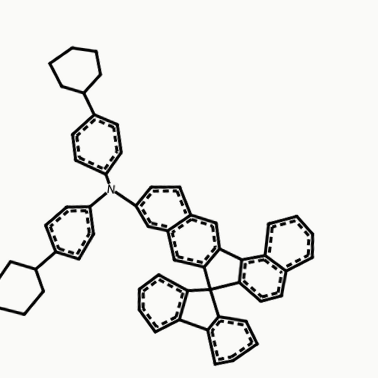 c1ccc2c(c1)-c1ccccc1C21c2cc3cc(N(c4ccc(C5CCCCC5)cc4)c4ccc(C5CCCCC5)cc4)ccc3cc2-c2c1ccc1ccccc21